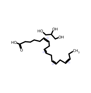 CC/C=C\C/C=C\C/C=C\C/C=C\CCCCC(=O)O.OCC(O)CO